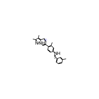 C=C(/C=C\c1[nH]nc(C)c1C)c1ccc(NSc2cccc(C)c2)cc1C